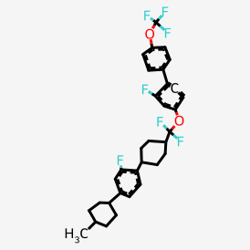 CC1CCC(c2ccc(C3CCC(C(F)(F)Oc4ccc(-c5ccc(OC(F)(F)F)cc5)c(F)c4)CC3)c(F)c2)CC1